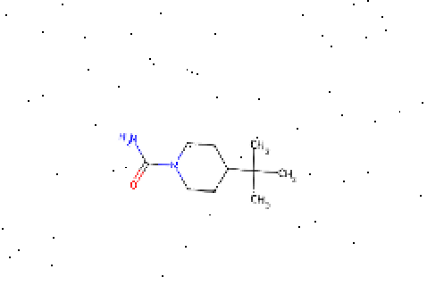 CC(C)(C)C1CCN(C(N)=O)CC1